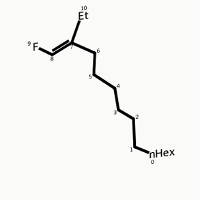 CCCCCCCCCCCCC(=CF)CC